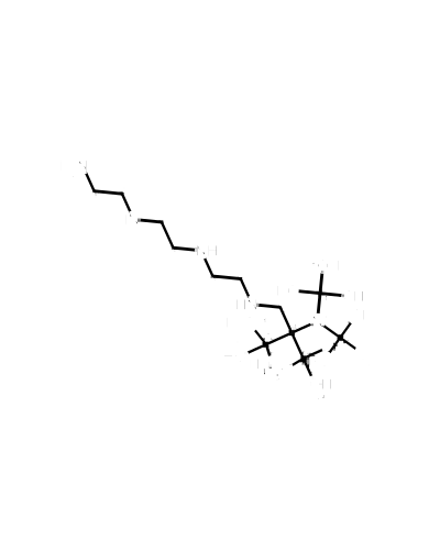 CC(C)(O)N(C(C)(C)O)C(CNCCNCCNCCN)(C(C)(C)O)C(C)(C)O